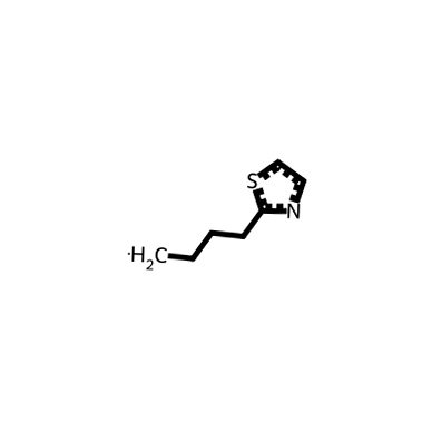 [CH2]CCCc1nccs1